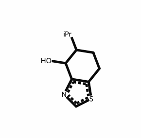 CC(C)C1CCc2scnc2C1O